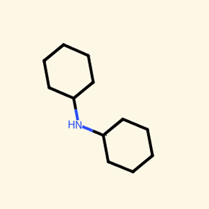 C1CC[C](NC2CCCCC2)CC1